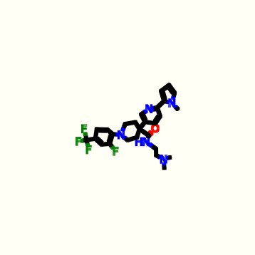 CN(C)CCNC(=O)C1(c2ccc(-c3cccn3C)nc2)CCN(c2ccc(C(F)(F)F)cc2F)CC1